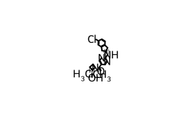 CC(C)(O)[C@@H]1CCN1C(=O)c1cnc(N[C@@H]2Cc3ccc(Cl)cc3C2)nc1